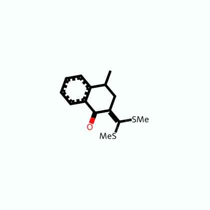 CSC(SC)=C1CC(C)c2ccccc2C1=O